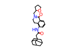 O=C(CC12CC3CC(CC(C3)C1)C2)Nc1cccc2c1CCN(CC1CCCO1)C2=O